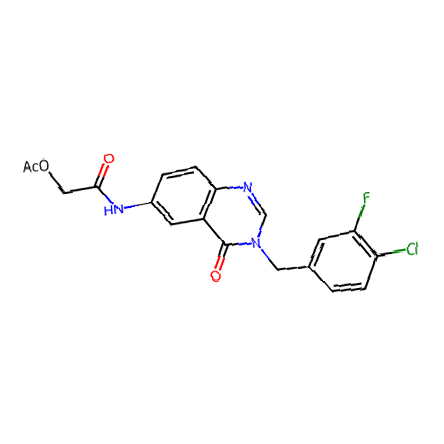 CC(=O)OCC(=O)Nc1ccc2ncn(Cc3ccc(Cl)c(F)c3)c(=O)c2c1